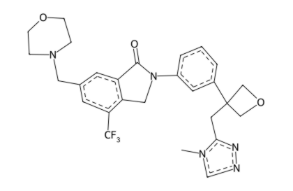 Cn1cnnc1CC1(c2cccc(N3Cc4c(cc(CN5CCOCC5)cc4C(F)(F)F)C3=O)c2)COC1